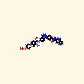 O=C(Nc1ccc2c(cnn2-c2ccc(NC(=O)c3cnc4c(c3)N=CC4)cc2)c1)c1ccc(N2CCC(O)CC2)cc1